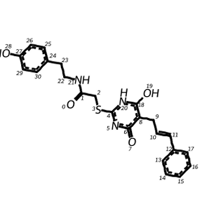 O=C(CSc1nc(=O)c(CC=Cc2ccccc2)c(O)[nH]1)NCCc1ccc(O)cc1